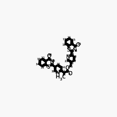 CC(C(=O)OCc1ccc(-c2nc(=O)c3ccccc3s2)nc1)c1ccc(-c2nc(=O)c3ccccc3s2)cn1